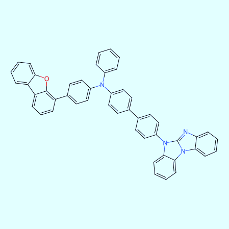 c1ccc(N(c2ccc(-c3ccc(-n4c5ccccc5n5c6ccccc6nc45)cc3)cc2)c2ccc(-c3cccc4c3oc3ccccc34)cc2)cc1